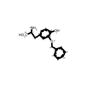 NC(Cc1ccc(O)c(OCc2ccccc2)c1)C(=O)O